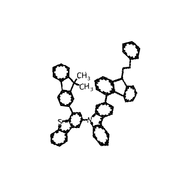 CC1(C)c2ccccc2-c2ccc(-c3cc(-n4c5ccccc5c5ccc(-c6cccc7c6-c6ccccc6C7CCc6ccccc6)cc54)cc4c3sc3ccccc34)cc21